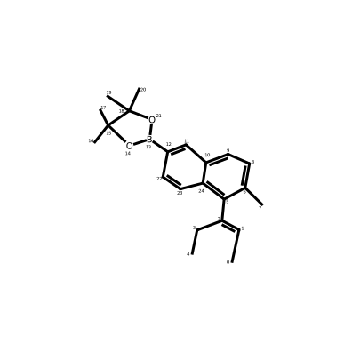 C/C=C(\CC)c1c(C)ccc2cc(B3OC(C)(C)C(C)(C)O3)ccc12